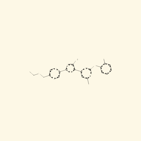 CCNCc1cnc(-c2nc(N)c(-c3cc(C)nc(Sc4ccccc4Cl)n3)s2)cn1